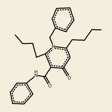 CCCCc1cc(=O)c(C(=O)Nc2ccccc2)c(CCCC)n1Cc1ccccc1